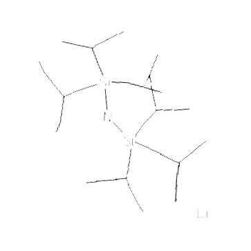 CC(C)[Si]([N-][Si](C(C)C)(C(C)C)C(C)C)(C(C)C)C(C)C.[Li+]